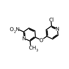 Cc1nc([N+](=O)[O-])ccc1Oc1ccnc(Cl)c1